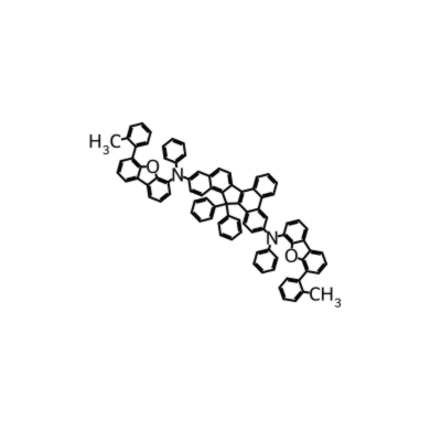 Cc1ccccc1-c1cccc2c1oc1c(N(c3ccccc3)c3ccc4c5c(ccc4c3)-c3c(c4ccc(N(c6ccccc6)c6cccc7c6oc6c(-c8ccccc8C)cccc67)cc4c4ccccc34)C5(c3ccccc3)c3ccccc3)cccc12